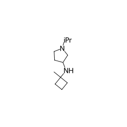 CC(C)N1CCC(NC2(C)CCC2)C1